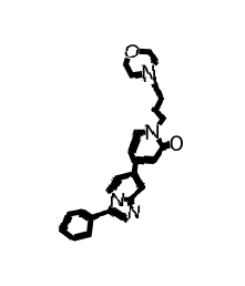 O=c1cc(-c2ccn3c(-c4ccccc4)cnc3c2)ccn1CCCN1CCOCC1